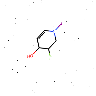 OC1C=CN(I)CC1F